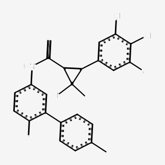 C=C(Nc1ccc(Cl)c(-c2ccc(C)cc2)c1)C1C(c2cc(Cl)c(Cl)c(Cl)c2)C1(C)Cl